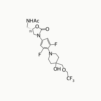 CC(=O)NC[C@H]1CN(c2cc(F)c(N3CCC(O)(COCC(F)(F)F)CC3)c(F)c2)C(=O)O1